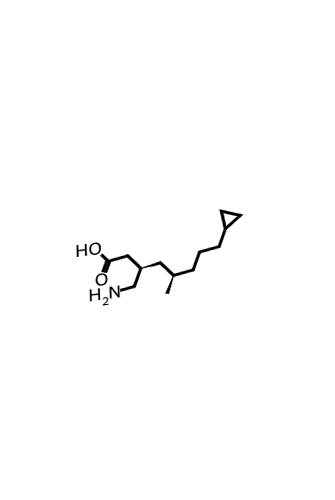 C[C@H](CCCC1CC1)C[C@@H](CN)CC(=O)O